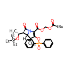 CC[Si](CC)(CC)O[C@H](C)[C@H]1C(=O)N2C(C(=O)OCOC(=O)C(C)(C)C)=C(OP(=O)(c3ccccc3)c3ccccc3)[C@H](C)[C@H]12